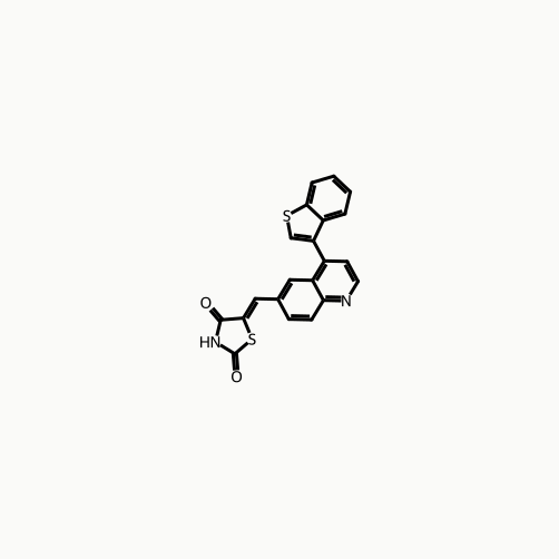 O=C1NC(=O)/C(=C/c2ccc3nccc(-c4csc5ccccc45)c3c2)S1